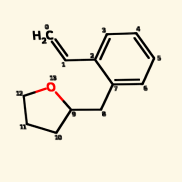 C=Cc1ccccc1CC1CCCO1